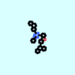 N/C(=N\C(=N/Cc1ccccc1)c1ccc2c(ccc3ccccc32)c1)c1cccc2oc3cc(-c4cc5ccccc5c5ccccc45)ccc3c12